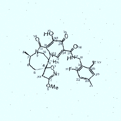 COC1=NO[C@@]2(CC[C@@H](C)N3C[C@H]2n2cc(C(=O)NCc4c(F)cc(C)cc4F)c(=O)c(O)c2C3=O)C1